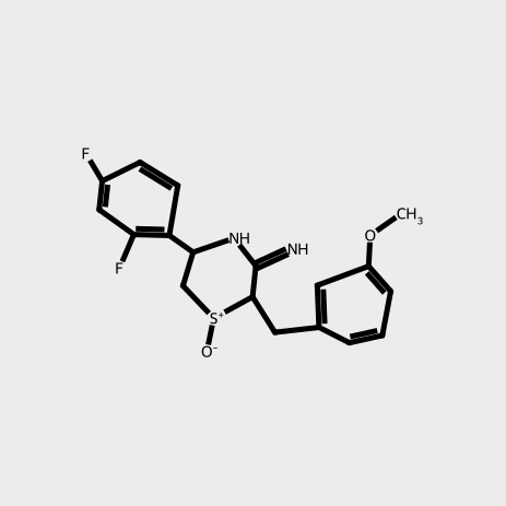 COc1cccc(CC2C(=N)NC(c3ccc(F)cc3F)C[S+]2[O-])c1